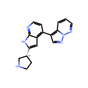 c1cnn2ncc(-c3ccnc4[nH]c([C@@H]5CCNC5)cc34)c2c1